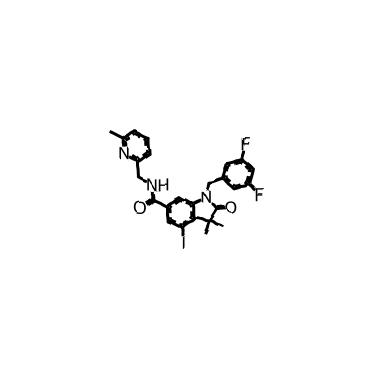 Cc1cccc(CNC(=O)c2cc(I)c3c(c2)N(Cc2cc(F)cc(F)c2)C(=O)C3(C)C)n1